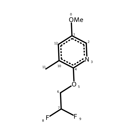 COc1cnc(OCC(F)F)c(C)c1